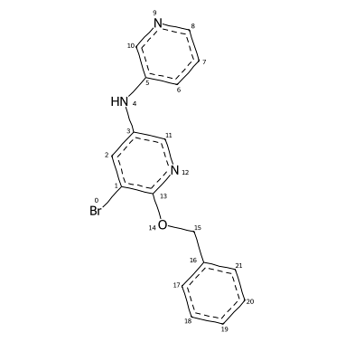 Brc1cc(Nc2cccnc2)cnc1OCc1ccccc1